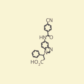 N#Cc1ccc(C(=O)Nc2ccc3c(c2)ncn3C(CC(=O)O)c2ccccc2)cc1